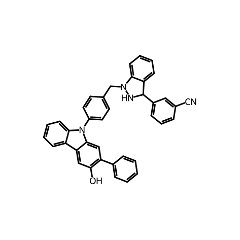 N#Cc1cccc(C2NN(Cc3ccc(-n4c5ccccc5c5cc(O)c(-c6ccccc6)cc54)cc3)c3ccccc32)c1